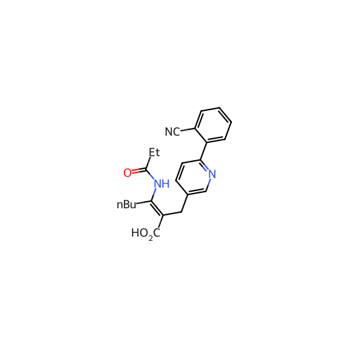 CCCCC(NC(=O)CC)=C(Cc1ccc(-c2ccccc2C#N)nc1)C(=O)O